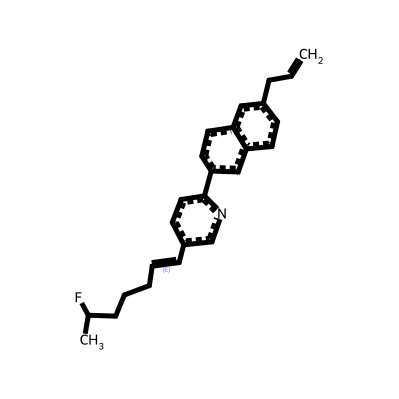 C=CCc1ccc2cc(-c3ccc(/C=C/CCCC(C)F)cn3)ccc2c1